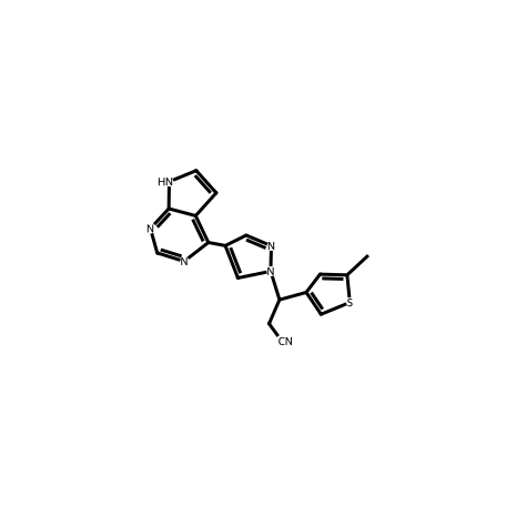 Cc1cc(C(CC#N)n2cc(-c3ncnc4[nH]ccc34)cn2)cs1